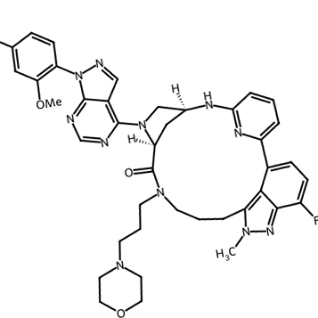 COc1cc(F)ccc1-n1ncc2c(N3C[C@@H]4C[C@H]3C(=O)N(CCCN3CCOCC3)CCCc3c5c(ccc(F)c5nn3C)-c3cccc(n3)N4)ncnc21